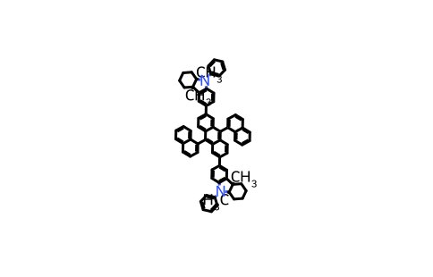 CC12CCCCC1(C)N(c1ccccc1)c1ccc(-c3ccc4c(-c5cccc6ccccc56)c5cc(-c6ccc7c(c6)C6(C)CCCCC6(C)N7c6ccccc6)ccc5c(-c5cccc6ccccc56)c4c3)cc12